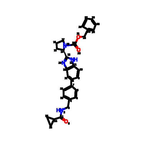 O=C(NCc1ccc(-c2ccc3[nH]c([C@@H]4CCCN4C(=O)OCc4ccccc4)nc3c2)cc1)C1CC1